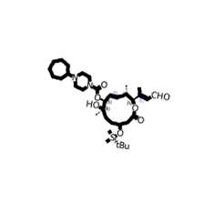 C/C(=C\C=O)[C@H]1OC(=O)CC(O[Si](C)(C)C(C)(C)C)CC[C@@](C)(O)[C@@H](OC(=O)N2CCN(C3CCCCCC3)CC2)/C=C/[C@@H]1C